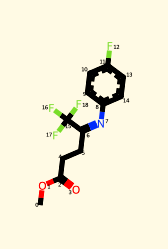 COC(=O)CCC(=Nc1ccc(F)cc1)C(F)(F)F